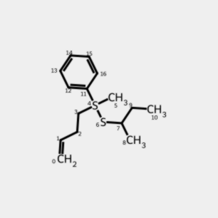 C=CCCS(C)(SC(C)CC)c1ccccc1